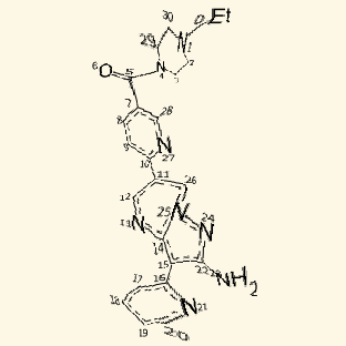 CCN1CCN(C(=O)c2ccc(-c3cnc4c(-c5ccccn5)c(N)nn4c3)nc2)CC1